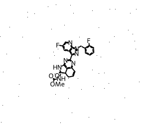 COC(=O)NC[C@@]12CC=Cc3nc(-c4nn(Cc5ccccc5F)c5ncc(F)cc45)nc(c31)NC2=O